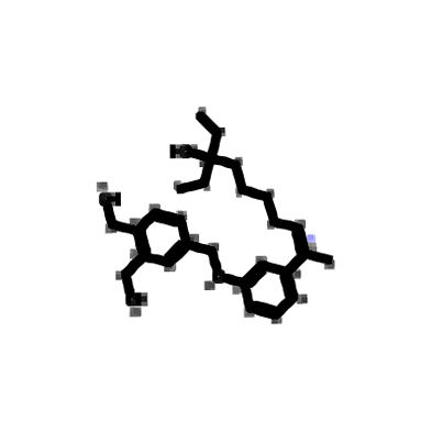 CCC(O)(CC)CCCC/C=C(/C)c1cccc(OCc2ccc(CO)c(CO)c2)c1